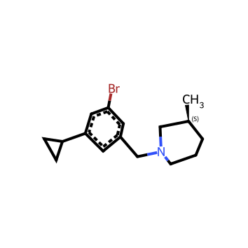 C[C@H]1CCCN(Cc2cc(Br)cc(C3CC3)c2)C1